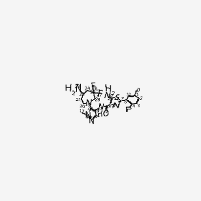 Cc1ccc(F)c(-c2nc(C(=O)Nc3cnn(C)c3N3CCC(N)CC(F)(F)C3)c(N)s2)c1